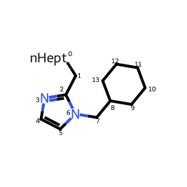 CCCCCCCCc1nccn1CC1CCCCC1